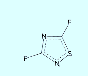 Fc1nsc(F)n1